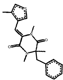 Cc1cscc1/C=C1/C(=O)N(C)C(C)(Cc2ccccc2)C(=O)N1C